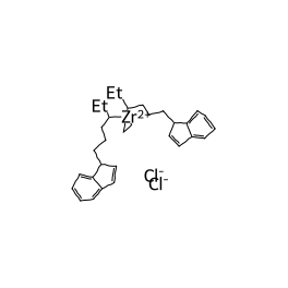 CC[CH](CCCC1C=Cc2ccccc21)[Zr+2]1([CH](CC)CCCC2C=Cc3ccccc32)[CH2][CH2]1.[Cl-].[Cl-]